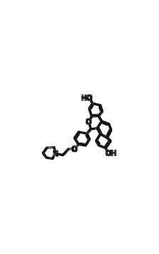 Oc1ccc2c(c1)OC(c1ccc(OCCN3CCCCC3)cc1)c1c-2ccc2cc(O)ccc12